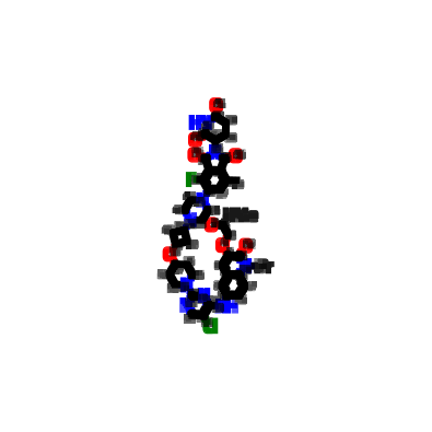 CNC(=O)COc1cc2cc(Nc3nc(N4CCC(O[C@H]5C[C@H](N6CCN(c7cc(C)c8c(c7F)C(=O)N(C7CCC(=O)NC7=O)C8=O)CC6)C5)CC4)ncc3Cl)ccc2n(C(C)C)c1=O